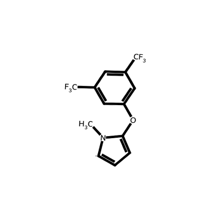 Cn1[c]ccc1Oc1cc(C(F)(F)F)cc(C(F)(F)F)c1